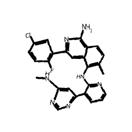 CNc1cc(-c2cccnc2Nc2c(C)ccc3c(N)nc(-c4cc(Cl)ccc4F)cc23)ncn1